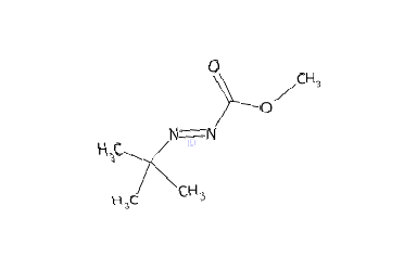 COC(=O)/N=N/C(C)(C)C